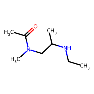 CCNC(C)CN(C)C(C)=O